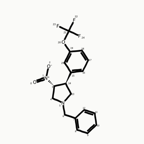 O=[N+]([O-])[C@H]1CN(Cc2ccccc2)C[C@@H]1c1cccc(OC(F)(F)F)c1